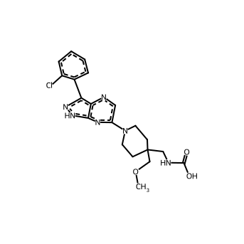 COCC1(CNC(=O)O)CCN(c2cnc3c(-c4ccccc4Cl)n[nH]c3n2)CC1